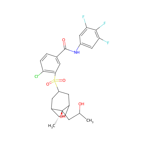 CC(O)C[C@@]1(O)C2CC(S(=O)(=O)c3cc(C(=O)Nc4cc(F)c(F)c(F)c4)ccc3Cl)CC1[C@@H](C)C2